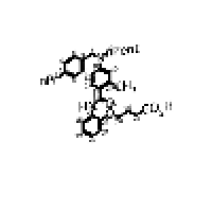 CCCCCN(Cc1ccc(CCC)cc1)c1ccc(C(=O)Nc2ccccc2OCCCC(=O)O)c(C)c1